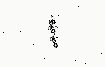 O=C(NCCc1ccc(C(=O)Nc2ccnc3[nH]ncc23)cc1)OCc1ccccc1